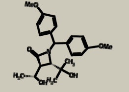 COc1ccc(C(c2ccc(OC)cc2)N2C(=O)[C@H]([C@@H](C)O)[C@H]2C(C)(C)O)cc1